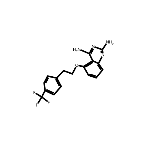 Nc1nc(N)c2c(OCCc3ccc(C(F)(F)F)cc3)cccc2n1